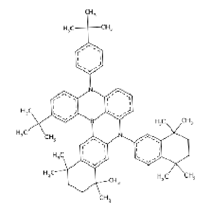 CC(C)(C)c1ccc(N2c3ccc(C(C)(C)C)cc3B3c4cc5c(cc4N(c4ccc6c(c4)C(C)(C)CCC6(C)C)c4cccc2c43)C(C)(C)CCC5(C)C)cc1